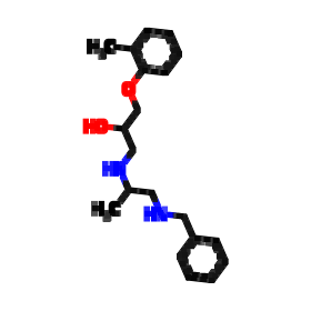 Cc1ccccc1OCC(O)CNC(C)CNCc1ccccc1